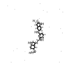 CCCOc1ccc2[nH]cc(CCNc3nccc(Nc4ccc5[nH]c(C)cc5c4)n3)c2c1